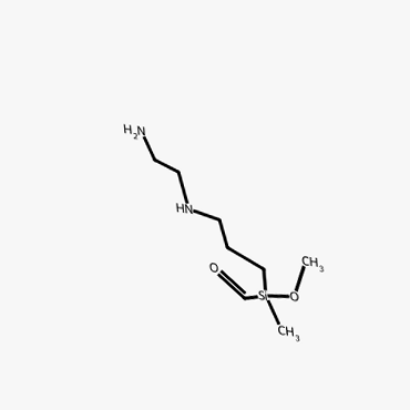 CO[Si](C)(C=O)CCCNCCN